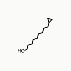 OCCCCCCCCCC1CC1